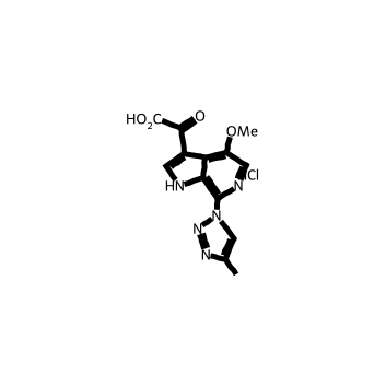 COc1cnc(-n2cc(C)nn2)c2[nH]cc(C(=O)C(=O)O)c12.Cl